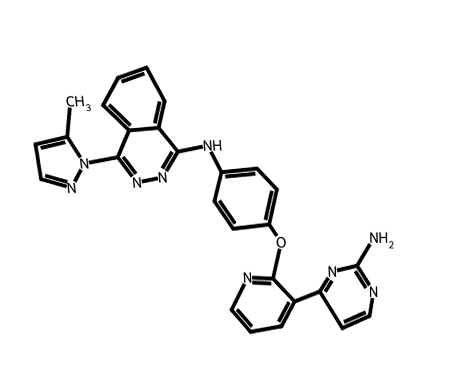 Cc1ccnn1-c1nnc(Nc2ccc(Oc3ncccc3-c3ccnc(N)n3)cc2)c2ccccc12